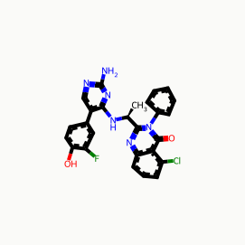 C[C@H](Nc1nc(N)ncc1-c1ccc(O)c(F)c1)c1nc2cccc(Cl)c2c(=O)n1-c1ccccc1